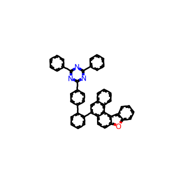 c1ccc(-c2nc(-c3ccccc3)nc(-c3ccc(-c4ccccc4-c4cc5ccccc5c5c4ccc4oc6ccccc6c45)cc3)n2)cc1